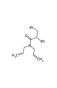 C=CCN(CC=C)C(=O)C(CC(C)C)C(C)C